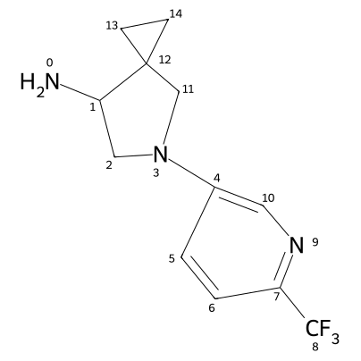 NC1CN(c2ccc(C(F)(F)F)nc2)CC12CC2